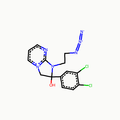 [N-]=[N+]=NCCN1c2nccc[n+]2CC1(O)c1ccc(Cl)c(Cl)c1